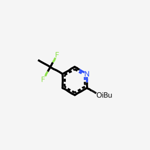 CC(C)COc1ccc(C(C)(F)F)cn1